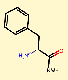 [CH2]NC(=O)[C@H](N)Cc1ccccc1